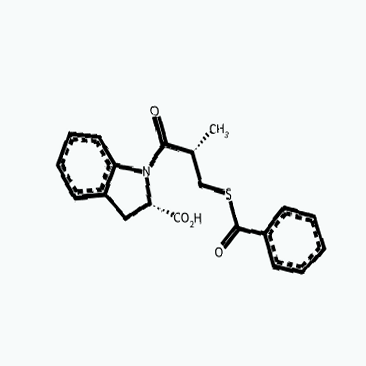 C[C@H](CSC(=O)c1ccccc1)C(=O)N1c2ccccc2C[C@H]1C(=O)O